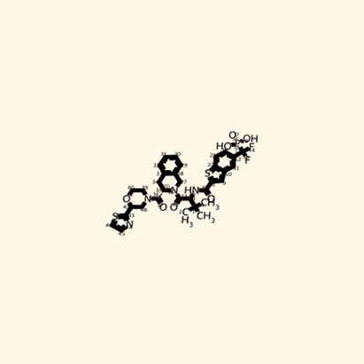 CC(C)(C)C(NC(=O)c1cc2cc(C(F)(F)P(=O)(O)O)ccc2s1)C(=O)N1Cc2ccccc2C[C@H]1C(=O)N1CCOC(c2nccs2)C1